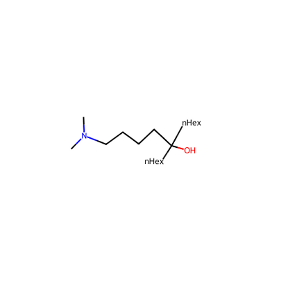 CCCCCCC(O)(CCCCCC)CCCCN(C)C